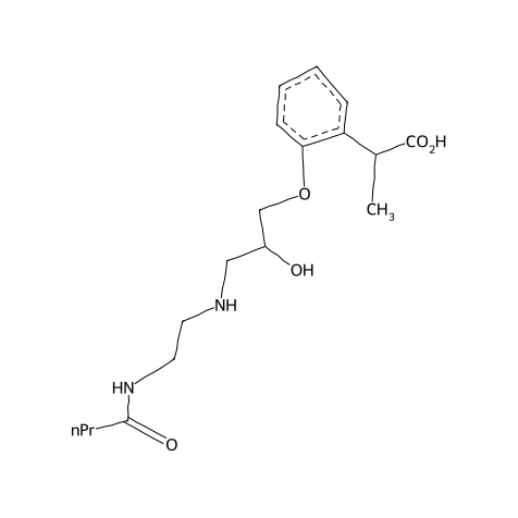 CCCC(=O)NCCNCC(O)COc1ccccc1C(C)C(=O)O